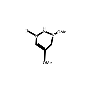 COC1=CN(Cl)NN(OC)C1